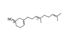 CC(C)=CCC/C(C)=C/CCC1=CCC[C@@H](C#N)C1